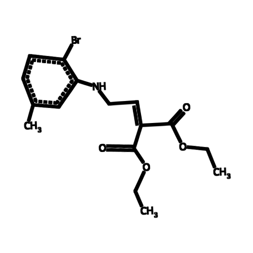 CCOC(=O)C(=CCNc1cc(C)ccc1Br)C(=O)OCC